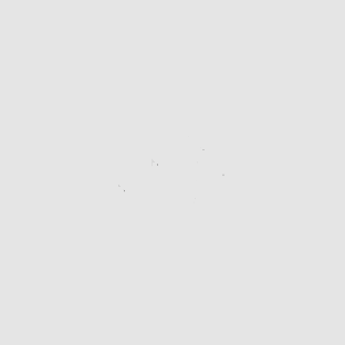 CSC1=Nc2ccccc2C(S(=O)(=O)O)N1c1ccccc1Br